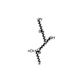 CCCCCCCCC(CCCCCCCCF)C(=O)OCCCCCCCN(CCCCO)CCCCCCCOC(=O)CCCCCCCCC(C)C